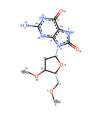 CC(C)(C)OC[C@H]1O[C@@H](n2c(=O)[nH]c3c(=O)[nH]c(N)nc32)CC1OC(C)(C)C